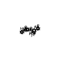 O=C(N[C@@H]1CC[C@@H](c2cccc(F)c2F)CN(CC(F)(F)F)C1=O)N1CCC2(CC1)N=C(c1ccccc1)NC2=O